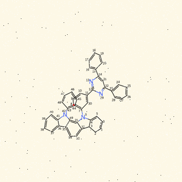 C1=CCC2C(=C1)N(c1cccc(-c3nc(-c4ccccc4)cc(-c4ccccc4)n3)c1)c1c2ccc2c3ccccc3n(-c3ccccc3)c12